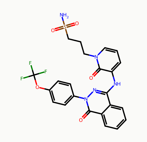 NS(=O)(=O)CCCn1cccc(Nc2nn(-c3ccc(OC(F)(F)F)cc3)c(=O)c3ccccc23)c1=O